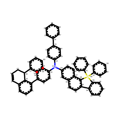 C1=Cc2cccc(-c3ccc(N(c4ccc(-c5ccccc5)cc4)c4ccc5c6c(ccc5c4)-c4ccccc4S6(c4ccccc4)c4ccccc4)cc3)c2C(c2ccccc2)C1